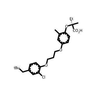 CC[C@@](C)(Oc1ccc(OCCCOc2ccc(CC(C)(C)C)cc2Cl)cc1C)C(=O)O